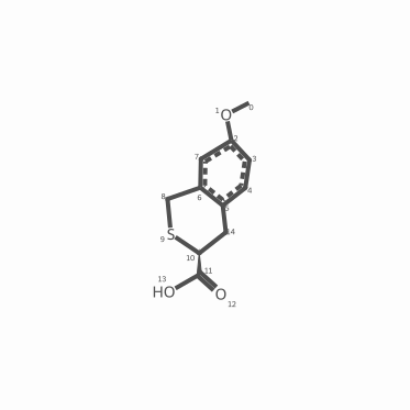 COc1ccc2c(c1)CS[C@H](C(=O)O)C2